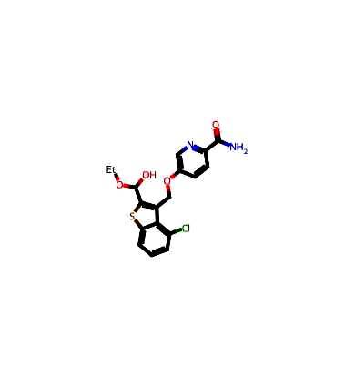 CCOC(O)c1sc2cccc(Cl)c2c1COc1ccc(C(N)=O)nc1